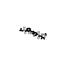 CC=C=C(C)/C(C)=C(\N)C(=O)Nc1cnc2[nH]c(-c3cccc(C(=O)NCC(C)C)c3)cc2c1